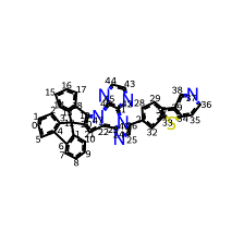 c1ccc2c(c1)-c1ccccc1C21c2ccccc2-c2c1cc1c3ncc(-c4ccc5c(c4)sc4ccncc45)n3c3nccnc3n21